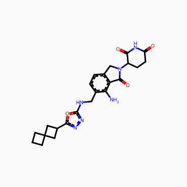 Nc1c(CNc2nnc(C3CC4(CCC4)C3)o2)ccc2c1C(=O)N(C1CCC(=O)NC1=O)C2